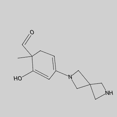 CC1(C=O)CC=C(N2CC3(CNC3)C2)C=C1O